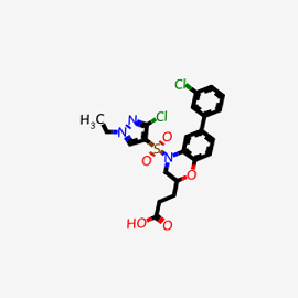 CCn1cc(S(=O)(=O)N2CC(CCC(=O)O)Oc3ccc(-c4cccc(Cl)c4)cc32)c(Cl)n1